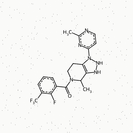 Cc1nccc(N2NNC3=C2CCN(C(=O)c2cccc(C(F)(F)F)c2F)C3C)n1